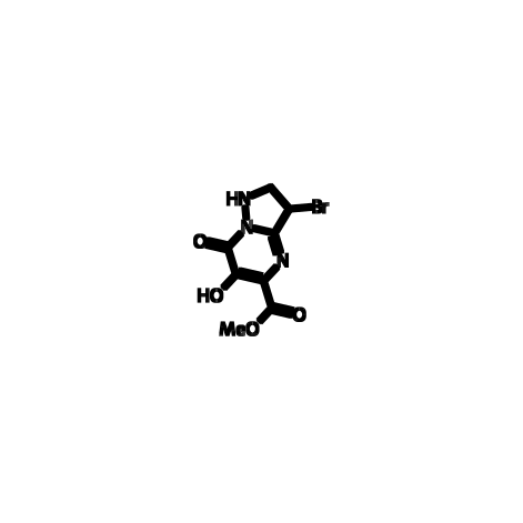 COC(=O)c1nc2n(c(=O)c1O)NCC2Br